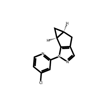 Clc1ccnc(-n2ncc3c2[C@H]2C[C@H]2C3)c1